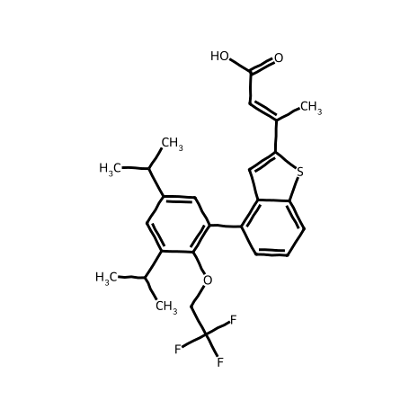 CC(=CC(=O)O)c1cc2c(-c3cc(C(C)C)cc(C(C)C)c3OCC(F)(F)F)cccc2s1